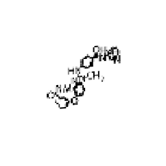 CNC(=O)c1cc(Oc2ccc3c(c2)nc(Nc2ccc(C(=O)N[C@@H]4CN5CCC4CC5)cc2)n3C)ccn1